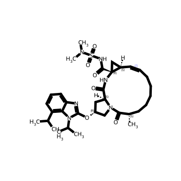 CC(C)c1cccc2nc(O[C@@H]3C[C@H]4C(=O)N[C@]5(C(=O)NS(=O)(=O)N(C)C)C[C@H]5/C=C\CCCCC[C@H](C)C(=O)N4C3)n(C(C)C)c12